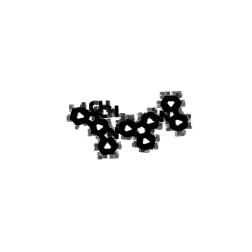 CC1(C)c2ccccc2-c2cc3c4ccccc4n(-c4ccc5c6ccc(-n7c8ccccc8c8ccccc87)cc6c6ccccc6c5c4)c3cc21